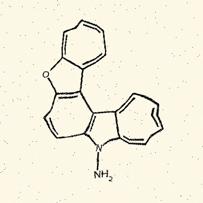 Nn1c2ccccc2c2c3c(ccc21)oc1ccccc13